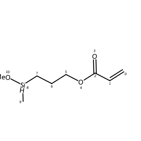 C=CC(=O)OCCC[SiH](C)OC